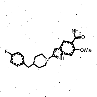 COc1cc2[nH]c(N3CCC(Cc4ccc(F)cc4)CC3)cc2cc1C(N)=O